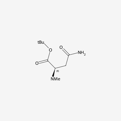 CN[C@H](CC(N)=O)C(=O)OC(C)(C)C